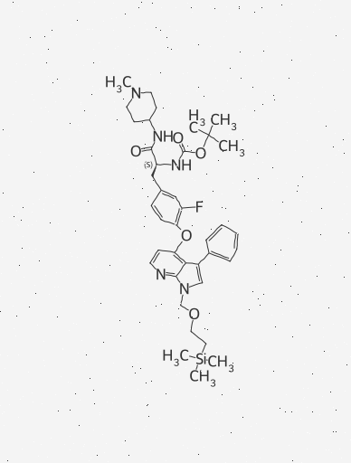 CN1CCC(NC(=O)[C@H](Cc2ccc(Oc3ccnc4c3c(-c3ccccc3)cn4COCC[Si](C)(C)C)c(F)c2)NC(=O)OC(C)(C)C)CC1